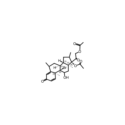 CC(=O)OCC(=O)[C@@]1(OC(C)=O)C(C)C[C@H]2[C@@H]3CC(C)C4=CC(=O)C=C[C@]4(C)[C@@]3(Br)C(O)C[C@@]21C